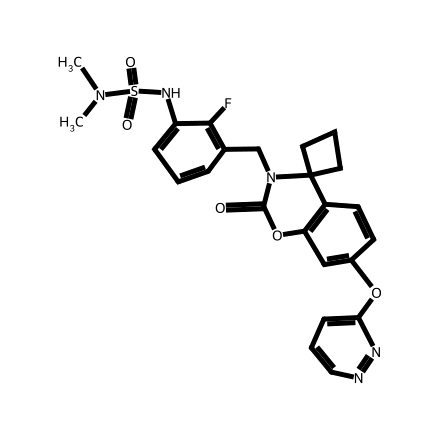 CN(C)S(=O)(=O)Nc1cccc(CN2C(=O)Oc3cc(Oc4cccnn4)ccc3C23CCC3)c1F